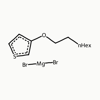 CCCCCCCCOc1ccsc1.[Br][Mg][Br]